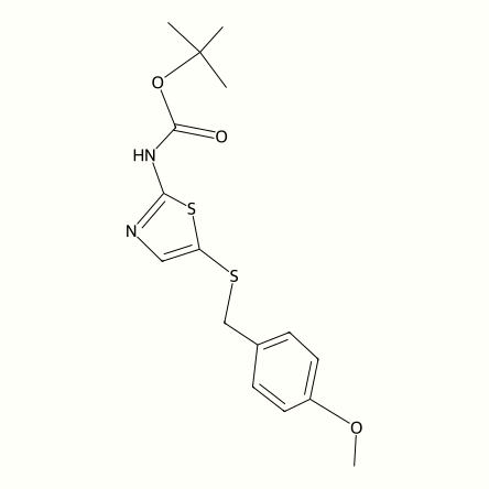 COc1ccc(CSc2cnc(NC(=O)OC(C)(C)C)s2)cc1